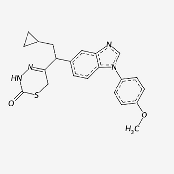 COc1ccc(-n2cnc3cc(C(CC4CC4)C4=NNC(=O)SC4)ccc32)cc1